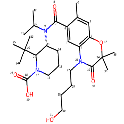 Cc1cc2c(cc1C(=O)N(C(C)C)[C@@H]1CCCN(C(=O)O)C1C(C)(C)C)N(CCCCO)C(=O)C(C)(C)O2